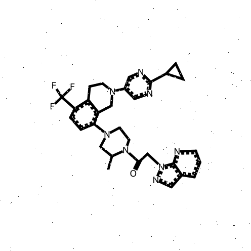 CC1CN(c2ccc(C(F)(F)F)c3c2CN(c2cnc(C4CC4)nc2)CC3)CCN1C(=O)Cn1ncc2cccnc21